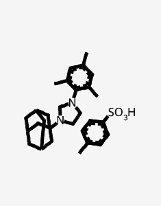 Cc1cc(C)c(N2CCN(C34CC5CC(CC(C5)C3)C4)C2)c(C)c1.Cc1ccc(S(=O)(=O)O)cc1